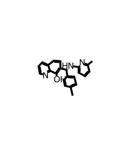 Cc1ccc(C(Nc2cccc(C)n2)c2ccc3cccnc3c2O)cc1